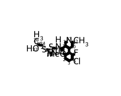 COc1ccc(Cl)c(F)c1-c1cc(C)ncc1C(=O)Nc1nnc(SC[C@@H](C)O)s1